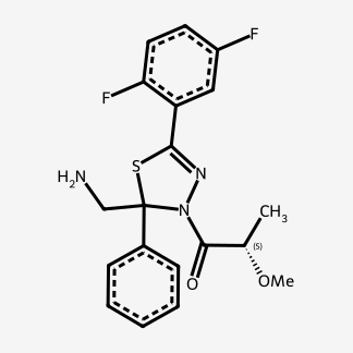 CO[C@@H](C)C(=O)N1N=C(c2cc(F)ccc2F)SC1(CN)c1ccccc1